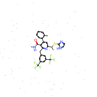 CNC(=O)c1c(-c2ccccc2C)cc(C(C)Sc2ncc[nH]2)nc1Cc1cc(C(F)(F)F)cc(C(F)(F)F)c1